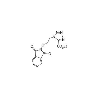 CCOC(=O)c1nnnn1CCON1C(=O)c2ccccc2C1=O